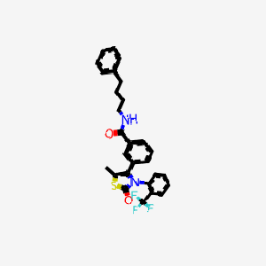 Cc1sc(=O)n(-c2ccccc2C(F)(F)F)c1-c1cccc(C(=O)NCCCCc2ccccc2)c1